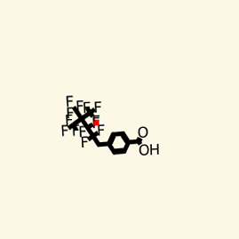 O=C(O)c1ccc(CC(F)(F)C(F)(F)C(C(F)(F)F)(C(F)(F)F)C(F)(F)F)cc1